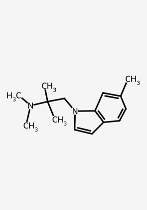 Cc1ccc2ccn(CC(C)(C)N(C)C)c2c1